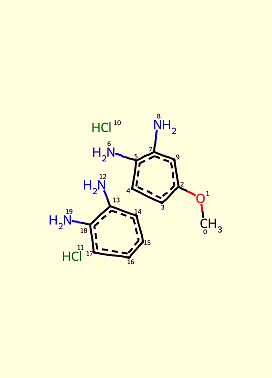 COc1ccc(N)c(N)c1.Cl.Cl.Nc1ccccc1N